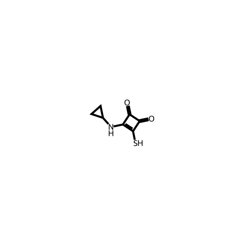 O=c1c(S)c(NC2CC2)c1=O